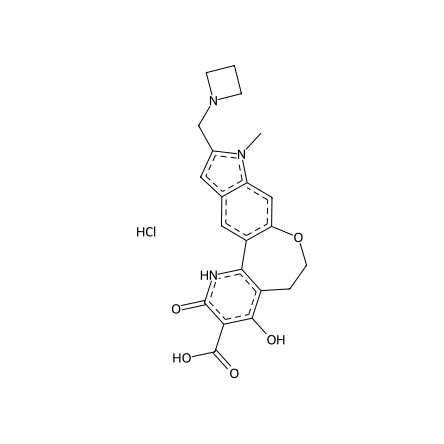 Cl.Cn1c(CN2CCC2)cc2cc3c(cc21)OCCc1c-3[nH]c(=O)c(C(=O)O)c1O